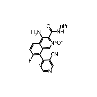 CCCNC(=O)c1c(N)c2ccc(F)c(-c3ncncc3C#N)c2c[n+]1[O-]